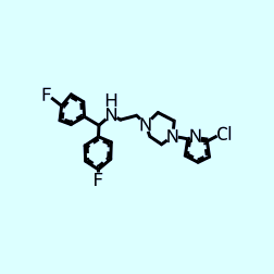 Fc1ccc(C(NCCN2CCN(c3cccc(Cl)n3)CC2)c2ccc(F)cc2)cc1